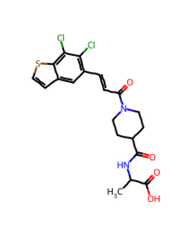 CC(NC(=O)C1CCN(C(=O)C=Cc2cc3ccsc3c(Cl)c2Cl)CC1)C(=O)O